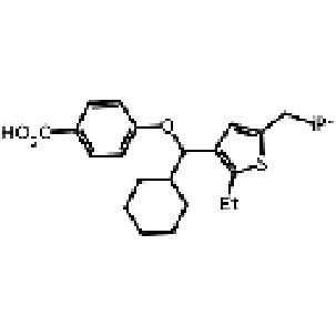 CCc1sc(CC(C)C)cc1C(Oc1ccc(C(=O)O)cc1)C1CCCCC1